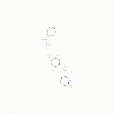 CC(c1ccccc1)N1CC[C@H](N(C)c2cc(F)c(S(=O)(=O)Nc3cccc(F)n3)cc2Cl)C1